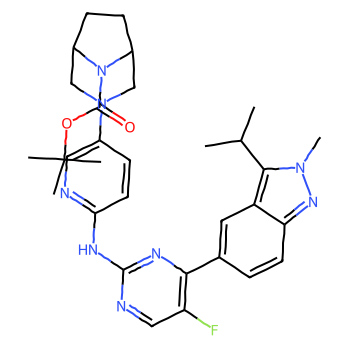 CC(C)c1c2cc(-c3nc(Nc4ccc(N5CC6CCC(C5)N6C(=O)OC(C)(C)C)cn4)ncc3F)ccc2nn1C